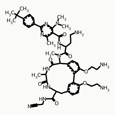 Cc1nc(-c2ccc(C(C)(C)C)cc2)nc(N(C)C)c1C(=O)NC(CCN)C(=O)N(C)C1C(=O)NC(C)C(=O)NC(C(=O)NCC#N)Cc2ccc(OCCN)c(c2)-c2cc1ccc2OCCN